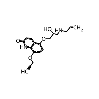 C#CCOc1ccc(OCC(O)CNCC=C)c2ccc(=O)[nH]c12